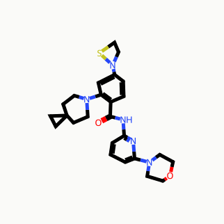 O=C(Nc1cccc(N2CCOCC2)n1)c1ccc(N2CCS2)cc1N1CCC2(CC1)CC2